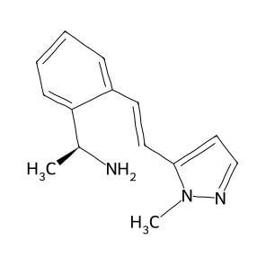 C[C@H](N)c1ccccc1/C=C/c1ccnn1C